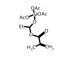 C=C(C)C(=O)OC(CC)O[Si](OC(C)=O)(OC(C)=O)OC(C)=O